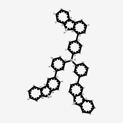 c1cc(-c2ccc3sc4ccccc4c3c2)cc(N(c2ccc(-c3cccc4c3oc3ccccc34)cc2)c2cccc(-c3ccc4sc5ccccc5c4c3)c2)c1